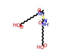 CC(CSSCC(C(=O)NCCCCCCCCCCCC(=O)O)N(C)C)C(=O)NCCCCCCCCCCCC(=O)O